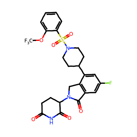 O=C1CCC(N2Cc3c(cc(F)cc3C3CCN(S(=O)(=O)c4ccccc4OC(F)(F)F)CC3)C2=O)C(=O)N1